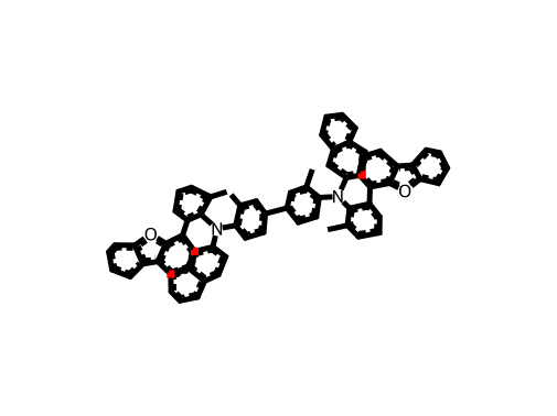 Cc1cc(-c2ccc(N(c3ccc4ccccc4c3)c3c(C)cccc3-c3cccc4c3oc3ccccc34)c(C)c2)ccc1N(c1ccc2ccccc2c1)c1c(C)cccc1-c1cccc2c1oc1ccccc12